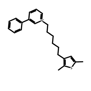 Cc1cc(CCCCCC[n+]2cccc(-c3ccccc3)c2)c(C)s1